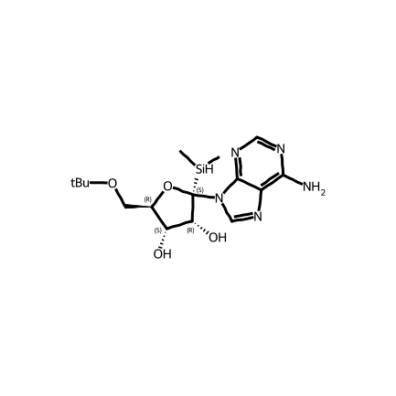 C[SiH](C)[C@@]1(n2cnc3c(N)ncnc32)O[C@H](COC(C)(C)C)[C@@H](O)[C@H]1O